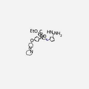 CCOC(=O)CS(=O)(=O)N(C/C=C/c1cccc(C(=N)N)c1)c1ccc(OC2CCN(C3=NCCCCC3)CC2)cc1